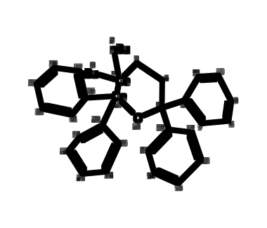 CCC[CH2][Ge]1([CH2]CCC)[CH2]CC(c2ccccc2)(c2ccccc2)[O][Ge]1([c]1ccccc1)[c]1ccccc1